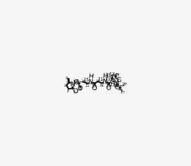 C=C1CCC(=O)N1O[13C](=O)CC[15NH]C(=O)CC[15NH]C(=O)[13CH]1[13CH2][13CH2][13CH2]N1[13CH2][13CH](C)C